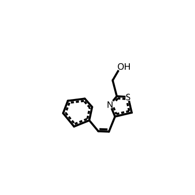 OCc1nc(/C=C\c2ccccc2)cs1